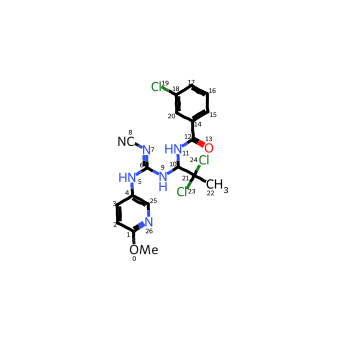 COc1ccc(N/C(=N\C#N)NC(NC(=O)c2cccc(Cl)c2)C(C)(Cl)Cl)cn1